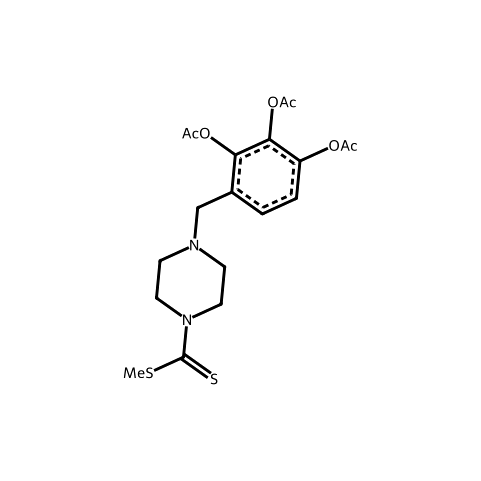 CSC(=S)N1CCN(Cc2ccc(OC(C)=O)c(OC(C)=O)c2OC(C)=O)CC1